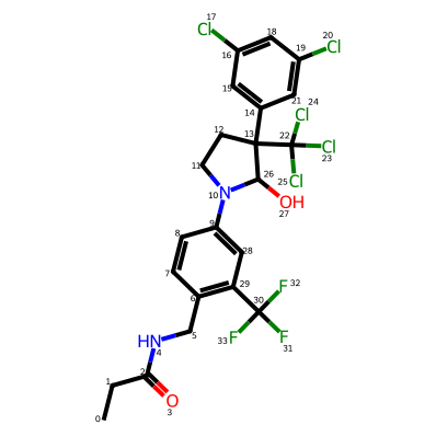 CCC(=O)NCc1ccc(N2CCC(c3cc(Cl)cc(Cl)c3)(C(Cl)(Cl)Cl)C2O)cc1C(F)(F)F